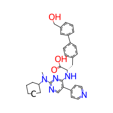 CN(c1ncc(-c2ccncc2)c(N[C@@H](Cc2ccc(-c3cccc(CO)c3)cc2)C(=O)O)n1)C1CCCCC1